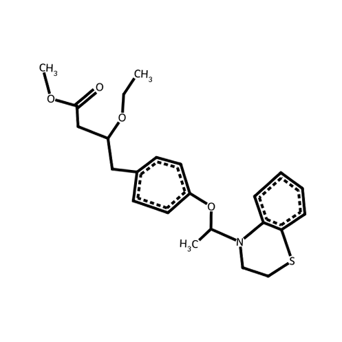 CCOC(CC(=O)OC)Cc1ccc(OC(C)N2CCSc3ccccc32)cc1